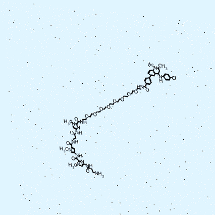 CC(=O)N1c2ccc(-c3ccc(C(=O)NCCOCCOCCOCCOCCOCCOCCOCCOCCNC(=O)c4nc(NC(=O)CCNC(=O)c5cc(NC(=O)c6nc(NC(=O)CCN)cn6C)cn5C)cn4C)cc3)cc2[C@H](Nc2ccc(Cl)cc2)C[C@@H]1C